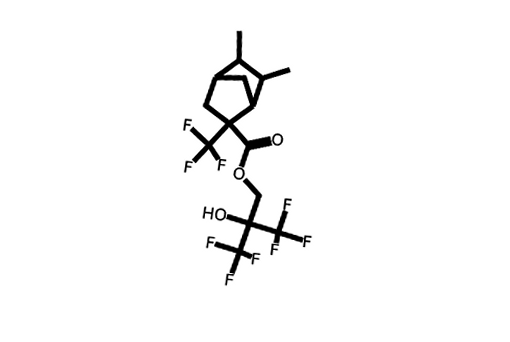 CC1C2CC(C1C)C(C(=O)OCC(O)(C(F)(F)F)C(F)(F)F)(C(F)(F)F)C2